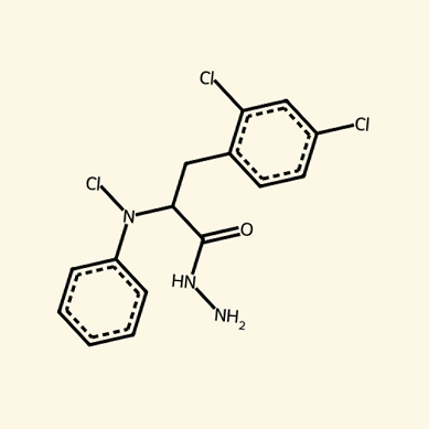 NNC(=O)C(Cc1ccc(Cl)cc1Cl)N(Cl)c1ccccc1